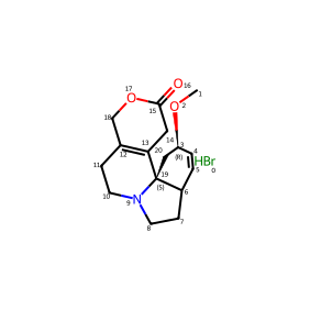 Br.CO[C@H]1C=CC2CCN3CCC4=C(CC(=O)OC4)[C@]23C1